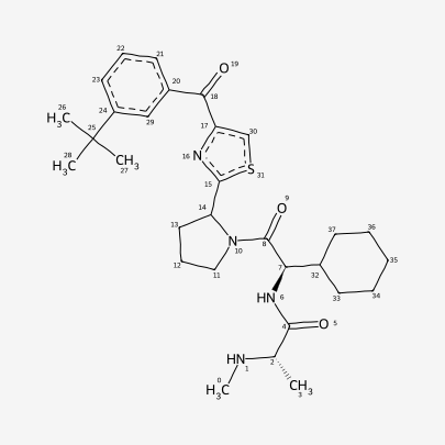 CN[C@@H](C)C(=O)N[C@@H](C(=O)N1CCCC1c1nc(C(=O)c2cccc(C(C)(C)C)c2)cs1)C1CCCCC1